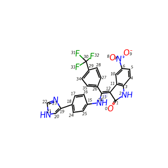 O=C1Nc2ccc([N+](=O)[O-])cc2/C1=C(/Nc1ccc(-c2c[nH]cn2)cc1)c1ccc(C(F)(F)F)cc1